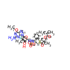 CCOc1nc(N)nc2c1ncn2[C@@H]1OC(COP(=O)(NCc2ccccc2)OCCSC(=O)C(C)(C)COC(=O)C(C)C)[C@@H](O)[C@@]1(C)F